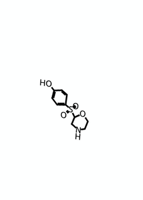 O=S(=O)(c1ccc(O)cc1)C1CNCCO1